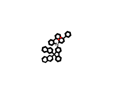 C1=CC2=C(C=CC(C3(c4ccc5ccccc5c4)c4ccccc4-c4ccc(N(c5ccc(-c6ccccc6)cc5)c5ccccc5-c5ccccc5)cc43)C2)CC1